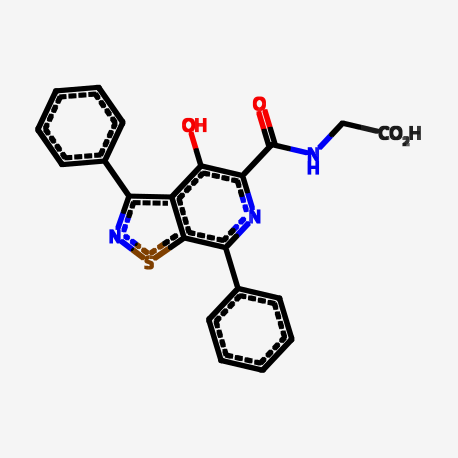 O=C(O)CNC(=O)c1nc(-c2ccccc2)c2snc(-c3ccccc3)c2c1O